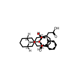 O=C(O)Cn1c(=O)n(C2C[C@H]3CCC[C@@H](C2)N3C2C[C@H]3CCCC[C@@H](C2)C3)c(=O)c2ccccc21